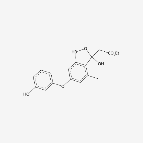 CCOC(=O)CC1(O)OBc2cc(Oc3cccc(O)c3)cc(C)c21